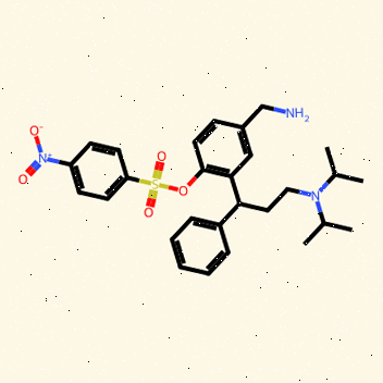 CC(C)N(CCC(c1ccccc1)c1cc(CN)ccc1OS(=O)(=O)c1ccc([N+](=O)[O-])cc1)C(C)C